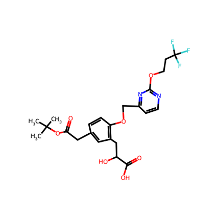 CC(C)(C)OC(=O)Cc1ccc(OCc2ccnc(OCCC(F)(F)F)n2)c(CC(O)C(=O)O)c1